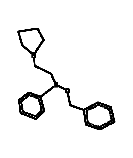 c1ccc(CON(CCN2CCCC2)c2ccccc2)cc1